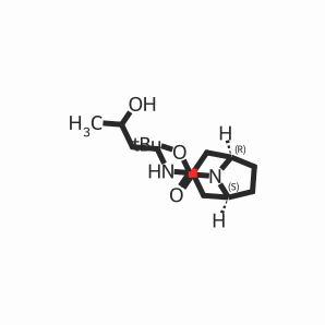 CC(O)CCNC1C[C@H]2CC[C@@H](C1)N2C(=O)OC(C)(C)C